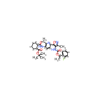 Cc1nc(-c2onc(C)c2NC(=O)O[C@H](C)c2ccccc2F)ccc1NC(=O)C1CCCCC1C(=O)OC(C)(C)C